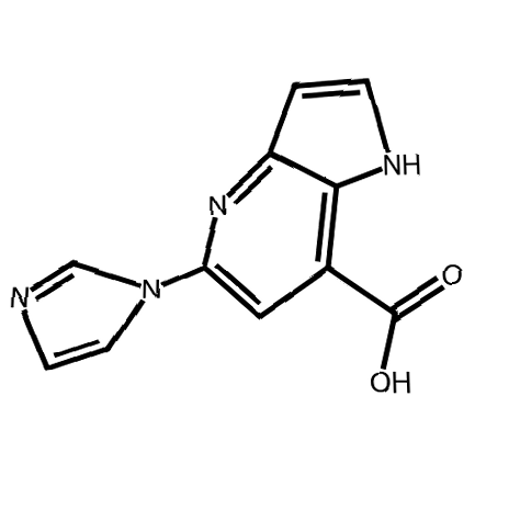 O=C(O)c1cc(-n2ccnc2)nc2cc[nH]c12